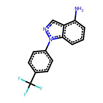 Nc1cccc2c1cnn2-c1ccc(C(F)(F)F)cc1